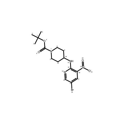 CC(C)(C)OC(=O)N1CCC(Nc2ncc(Br)cc2[N+](=O)[O-])CC1